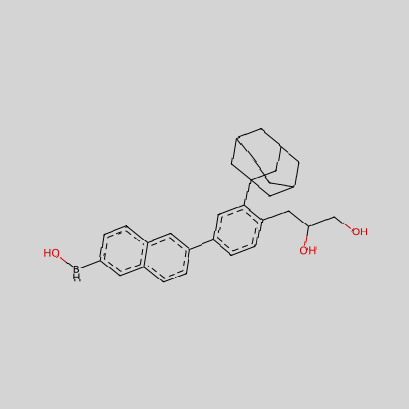 OBc1ccc2cc(-c3ccc(CC(O)CO)c(C45CC6CC(CC(C6)C4)C5)c3)ccc2c1